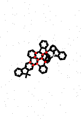 CC1(C)c2ccccc2-c2ccc(N(c3ccc4c(c3)C3(c5ccccc5-4)c4ccccc4-n4c5ccccc5c5cccc3c54)c3ccccc3-c3ccccc3-c3cccc4ccccc34)cc21